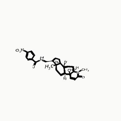 CN1C(=O)C=C[C@]2(C)[C@H]3CC[C@]4(C)[C@@H](CNC(=O)c5ccc([N+](=O)[O-])cc5)CC[C@H]4[C@@H]3CC[C@@H]12